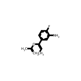 C=C(C)O/C(=C\C)c1ccc(F)c(N)c1